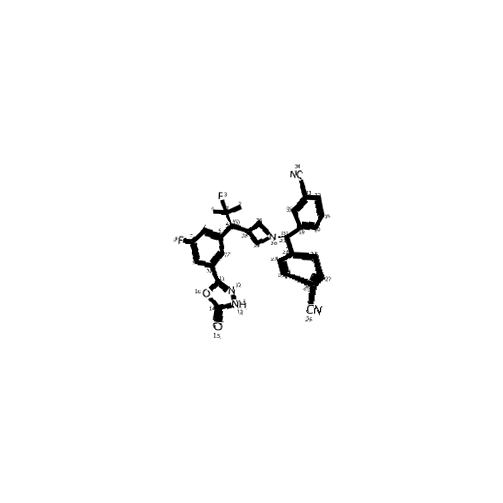 CC(C)(F)[C@H](c1cc(F)cc(-c2n[nH]c(=O)o2)c1)C1CN([C@@H](c2ccc(C#N)cc2)c2cccc(C#N)c2)C1